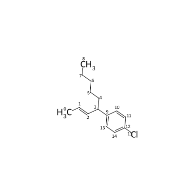 CC=CC(CCCCC)c1ccc(Cl)cc1